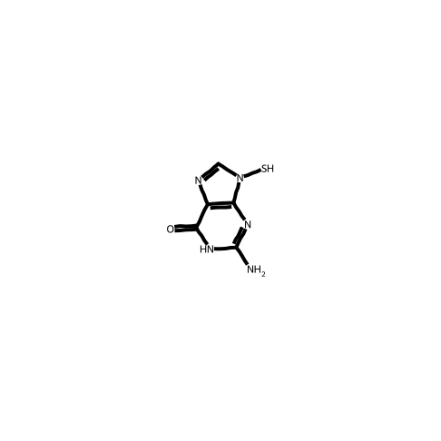 Nc1nc2c(ncn2S)c(=O)[nH]1